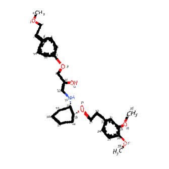 COCCc1ccc(OCC(O)CN[C@H]2CCCC[C@H]2OCCc2ccc(OC)c(OC)c2)cc1